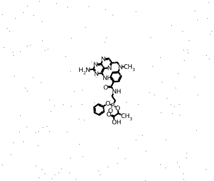 CC(OP(=O)(CCNC(=O)c1ccc(N(C)Cc2cnc3nc(N)nc(N)c3n2)cc1)Oc1ccccc1)C(=O)O